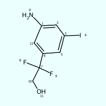 Nc1cc(I)cc(C(F)(F)CO)c1